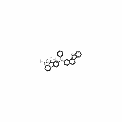 CC1(C)c2ccccc2-c2ccc(N(c3ccccc3)c3ccc4ccc5c6ccccc6sc5c4c3)cc21